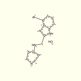 CC(C)c1cccc2[nH]c(CNc3ccncc3)nc12.Cl